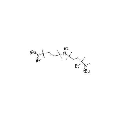 CCN(C(C)(C)CCC(C)(C)N(C(C)C)C(C)(C)C)C(C)(C)CCC(C)(CC)N(C)C(C)(C)C